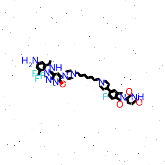 CC(Nc1ncnc2c1cc(N1CCN(CCCCCCCN3CCC(c4cc5c(cc4F)C(=O)N(C4CCC(=O)NC4=O)C5)CC3)CC1)c(=O)n2C)c1cc(N)cc(C(F)(F)F)c1